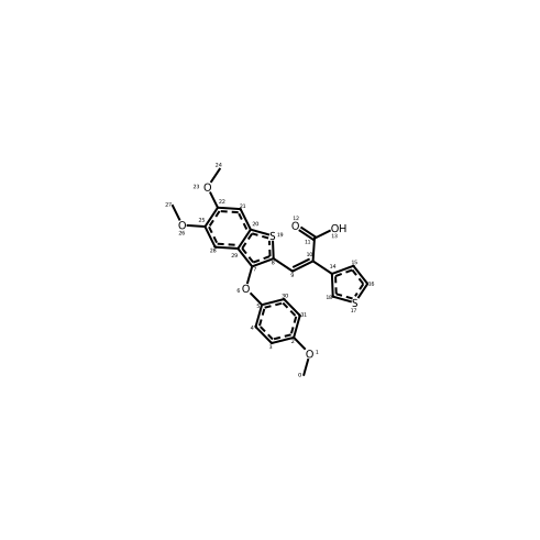 COc1ccc(Oc2c(C=C(C(=O)O)c3ccsc3)sc3cc(OC)c(OC)cc23)cc1